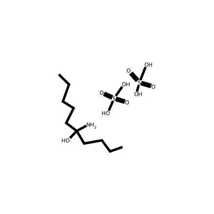 CCCCCC(N)(O)CCCC.O=S(=O)(O)O.O=S(=O)(O)O